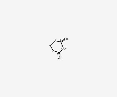 O=C1CCCC(=O)[Se]1